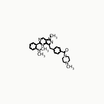 CN1CCN(C(=O)c2ccc(Cc3nn(C)c4cnc(-c5ccccc5N(C)C)nc34)cc2)CC1